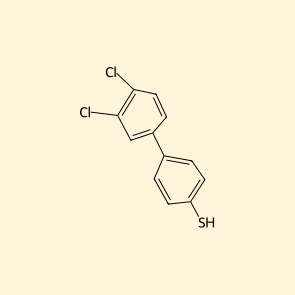 Sc1ccc(-c2ccc(Cl)c(Cl)c2)cc1